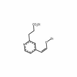 CCO/C=C\c1ccnc(CCC(=O)OCC)c1